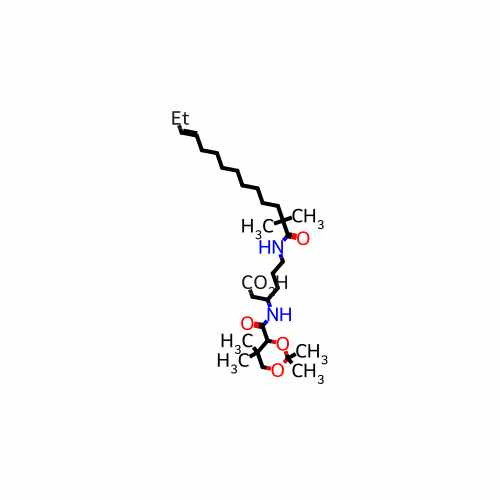 CCC=CCCCCCCCCC(C)(C)C(=O)NCCCC(CC(=O)O)NC(=O)C1OC(C)(C)OCC1(C)C